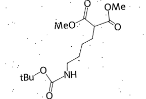 COC(=O)C(CCCCNC(=O)OC(C)(C)C)C(=O)OC